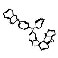 c1ccc(N(c2ccc(-c3ccc4ccccc4c3)cc2)c2ccc3sc4ccc5oc6ccccc6c5c4c3c2)cc1